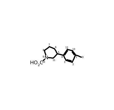 Cc1ccc(C2CCCN(C(=O)O)C2)cc1